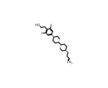 C=CCC[C@H]1CC[C@H]([C@H]2CC[C@H](c3cc(F)c(CCO)c(F)c3)CC2)CC1